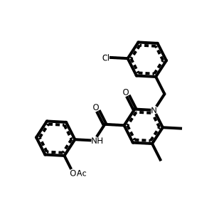 CC(=O)Oc1ccccc1NC(=O)c1cc(C)c(C)n(Cc2cccc(Cl)c2)c1=O